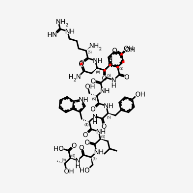 CC(C)C[C@H](NC(=O)[C@H](Cc1c[nH]c2ccccc12)NC(=O)[C@H](Cc1ccc(O)cc1)NC(=O)[C@H](CO)NC(=O)[C@H](Cc1ccc(O)cc1)NC(=O)[C@H](CC(=O)O)NC(=O)[C@@H](CC(N)=O)NC(=O)[C@@H](N)CCCNC(=N)N)C(=O)N[C@@H](CO)C(=O)N[C@H](C(=O)O)[C@@H](C)O